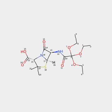 CCOC(OCC)(OCC)C(=O)N[C@@H]1C(=O)N2[C@@H]1SC(C)(C)[C@@H]2C(=O)O